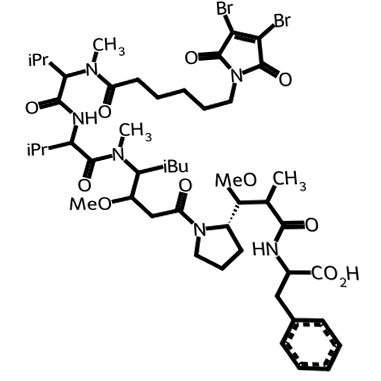 CCC(C)C(C(CC(=O)N1CCC[C@H]1C(OC)C(C)C(=O)NC(Cc1ccccc1)C(=O)O)OC)N(C)C(=O)C(NC(=O)C(C(C)C)N(C)C(=O)CCCCCN1C(=O)C(Br)=C(Br)C1=O)C(C)C